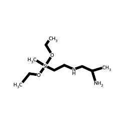 CCO[Si](C)(CCNCC(C)N)OCC